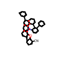 N#Cc1cccc2c1oc1c(N(c3ccc(-c4ccccc4)cc3)c3cccc(-c4ccccc4)c3-c3ccccc3-c3ccccc3)cccc12